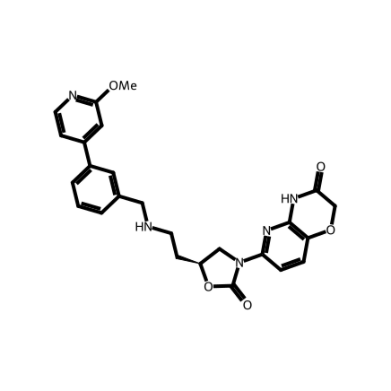 COc1cc(-c2cccc(CNCC[C@H]3CN(c4ccc5c(n4)NC(=O)CO5)C(=O)O3)c2)ccn1